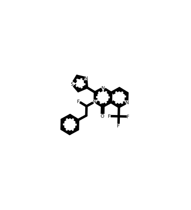 O=c1c2c(C(F)(F)F)nccc2nc(-c2cscn2)n1C(F)Cc1ccccc1